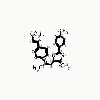 Cc1sc(-c2ccc(C(F)(F)F)cc2)nc1CN(C)c1ccc(/C=C/C(=O)O)cc1